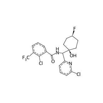 O=C(NC(c1cccc(Cl)n1)[C@]1(O)CC[C@@H](F)CC1)c1cccc(C(F)(F)F)c1Cl